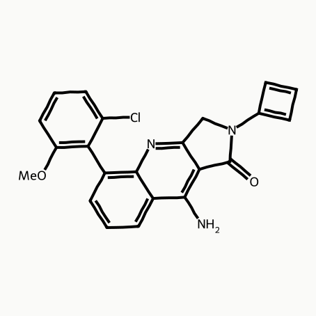 COc1cccc(Cl)c1-c1cccc2c(N)c3c(nc12)CN(C1=CC=C1)C3=O